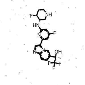 C[C@@](O)(c1ccc2ncc(-c3cc(F)cc(N[C@H]4CNCC[C@@H]4F)n3)n2c1)C(F)(F)F